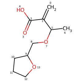 C=C(C(=O)O)C(C)OCC1CCCO1